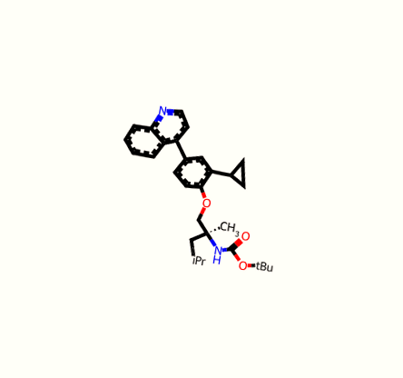 CC(C)C[C@@](C)(COc1ccc(-c2ccnc3ccccc23)cc1C1CC1)NC(=O)OC(C)(C)C